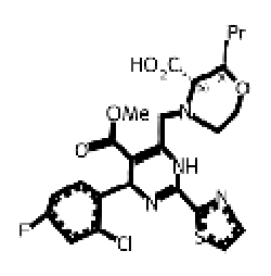 COC(=O)C1=C(CN2CCO[C@H](C(C)C)[C@H]2C(=O)O)NC(c2nccs2)=NC1c1ccc(F)cc1Cl